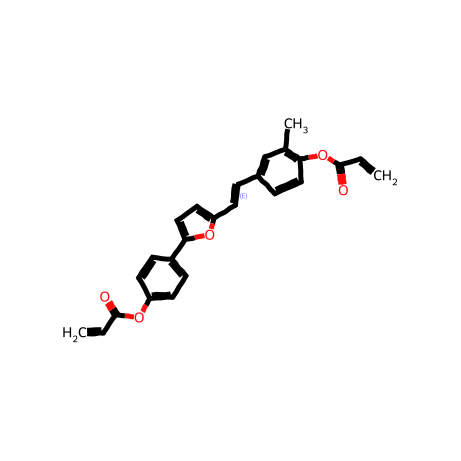 C=CC(=O)Oc1ccc(-c2ccc(/C=C/c3ccc(OC(=O)C=C)c(C)c3)o2)cc1